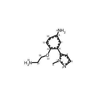 Cn1nccc1-c1cc(N)ccc1OCCN